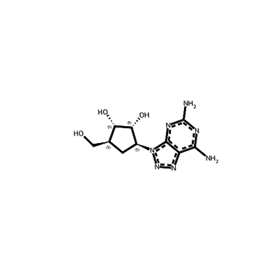 Nc1nc(N)c2nnn([C@H]3C[C@@H](CO)[C@H](O)[C@@H]3O)c2n1